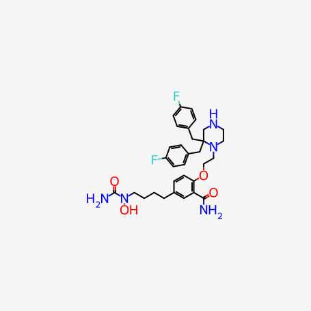 NC(=O)c1cc(CCCCN(O)C(N)=O)ccc1OCCN1CCNCC1(Cc1ccc(F)cc1)Cc1ccc(F)cc1